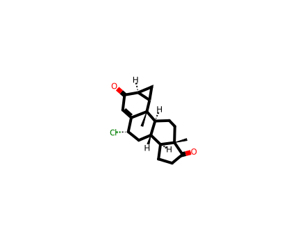 C[C@]12CC[C@H]3[C@@H](C[C@H](Cl)C4=CC(=O)[C@H]5CC5[C@@]43C)[C@@H]1CCC2=O